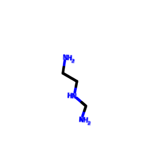 NCCNCN